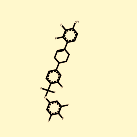 CCCc1ccc(C2=CCC(c3ccc(C(F)(F)Oc4cc(F)c(F)c(F)c4)c(F)c3)CC2)c(F)c1F